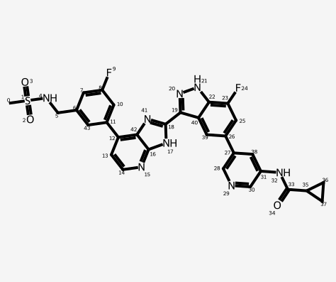 CS(=O)(=O)NCc1cc(F)cc(-c2ccnc3[nH]c(-c4n[nH]c5c(F)cc(-c6cncc(NC(=O)C7CC7)c6)cc45)nc23)c1